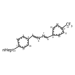 CCCCCCCc1ccc(/C=N/N=C/c2ccc(C(F)(F)F)cc2)cc1